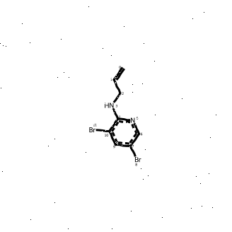 C=CCNc1ncc(Br)cc1Br